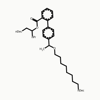 CCCCCCCCCCCCCCCCCCOC(C)c1ccc(-c2ccccc2C(=O)OC(CCC)CCCCCCCCCCC)cc1